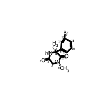 CN1CC(=O)NC(C)(c2cccc(Br)c2)C1=O